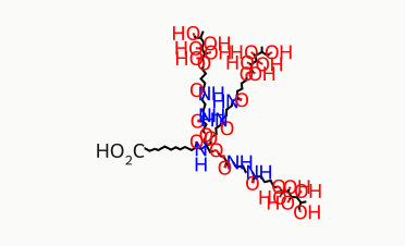 CC(CO)C(O)C(O)C(O)C(O)OCCCCC(=O)NCCCNC(=O)CCOCC(COCCC(=O)NCCCNC(=O)CCCCOC(O)C(O)C(O)C(O)C(C)CO)(COCCC(=O)NCCCNC(=O)CCCCOC(O)C(O)C(O)C(O)C(C)CO)NC(=O)CCCCCCCCCCC(=O)O